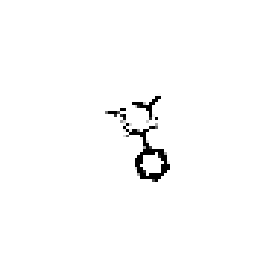 CSSC(OC(C)C)c1ccccc1